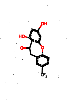 O=C1Cc2cc(C(F)(F)F)ccc2Oc2cc(O)cc(O)c21